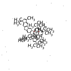 Cl.Cl.[CH2]=[Zr]([C]1=C(CC)C(C(C)(C)C)=CC1C)([C]1=C(C)c2cc3c(cc2C1(C)C)Cc1cc2c(cc1-3)C(C)=CC2(C)C)([c]1ccc(C(C)(C)C)cc1)[c]1ccc(C(C)(C)C)cc1